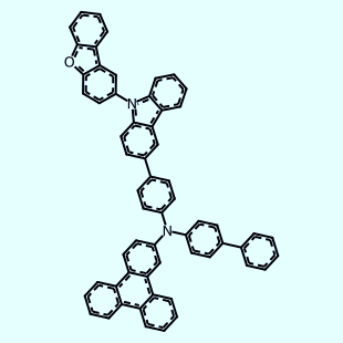 c1ccc(-c2ccc(N(c3ccc(-c4ccc5c(c4)c4ccccc4n5-c4ccc5oc6ccccc6c5c4)cc3)c3ccc4c5ccccc5c5ccccc5c4c3)cc2)cc1